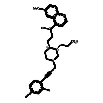 COc1ccc2nccc([C@H](O)CC[C@@H]3CCN(CC#Cc4ccc(Cl)cc4F)C[C@H]3CCC(=O)O)c2c1